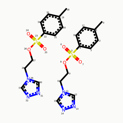 Cc1ccc(S(=O)(=O)OCCn2cnnc2)cc1.Cc1ccc(S(=O)(=O)OCCn2cnnc2)cc1